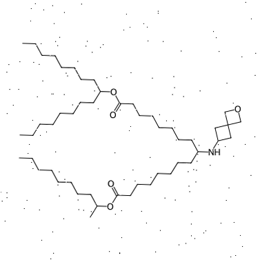 CCCCCCCCC(C)OC(=O)CCCCCCCC(CCCCCCCC(=O)OC(CCCCCCCC)CCCCCCCC)NC1CC2(COC2)C1